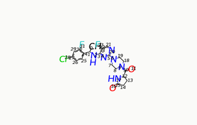 C[C@@H](Nc1nc(N2CCN(C(=O)[C@H]3CCC(=O)N3)CC2)ncc1F)c1ccc(Cl)cc1F